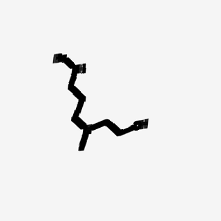 CCC(C)NCCCN(C)CCO